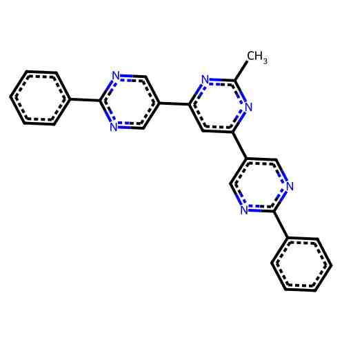 Cc1nc(-c2cnc(-c3ccccc3)nc2)cc(-c2cnc(-c3ccccc3)nc2)n1